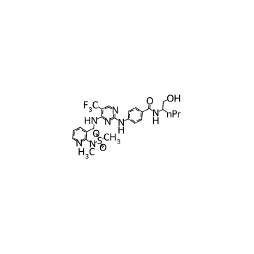 CCCC(CO)NC(=O)c1ccc(Nc2ncc(C(F)(F)F)c(NCc3cccnc3N(C)S(C)(=O)=O)n2)cc1